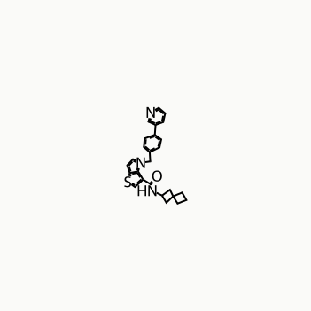 O=C(NC1CC2(CCC2)C1)c1csc2ccn(Cc3ccc(-c4cccnc4)cc3)c12